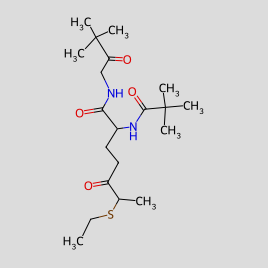 CCSC(C)C(=O)CCC(NC(=O)C(C)(C)C)C(=O)NCC(=O)C(C)(C)C